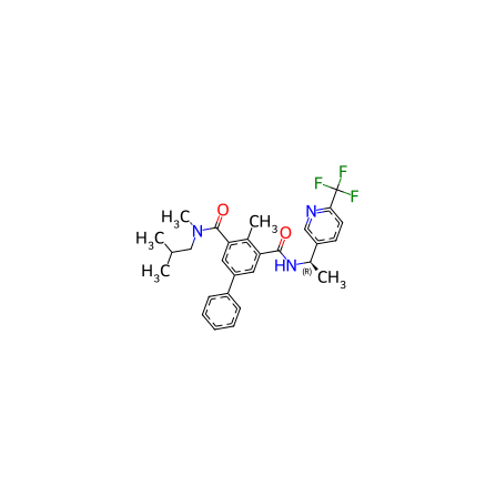 Cc1c(C(=O)N[C@H](C)c2ccc(C(F)(F)F)nc2)cc(-c2ccccc2)cc1C(=O)N(C)CC(C)C